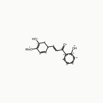 COC1=C(O)CC(C=CC(=O)c2ccccc2O)C=C1